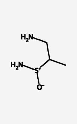 CC(CN)[S+](N)[O-]